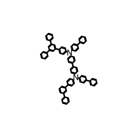 c1ccc(-c2ccc(N(c3ccc(-c4ccc(N(c5ccc(-c6ccccc6)cc5)c5ccc(-c6cc(-c7ccccc7)cc(-c7ccccc7)c6)cc5)cc4)cc3)c3ccc(-c4cccc(-c5ccccc5)c4)cc3)cc2)cc1